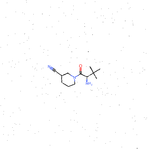 CC(C)(C)[C@@H](N)C(=O)N1CCCC(C#N)C1